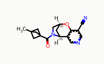 CC12CC(C(=O)N3C[C@@H]4C[C@H]3c3cncc(C#N)c3O4)(C1)C2